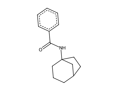 O=C(NC12CCCC(CC1)C2)c1ccccc1